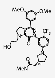 CNC(=O)C[C@@H]1CCN(c2ccc(C(F)(F)F)c(-n3nc(-c4cc(OC)cc(OC)c4)c4c(c3=O)N(CCO)CC4)c2)C1